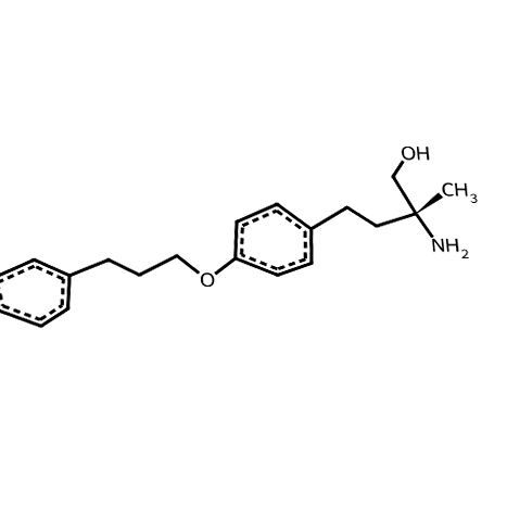 C[C@](N)(CO)CCc1ccc(OCCCc2ccccc2)cc1